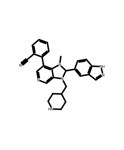 CN1c2c(-c3ccccc3C#N)cncc2N(CC2CCNCC2)C1c1ccc2[nH]ncc2c1